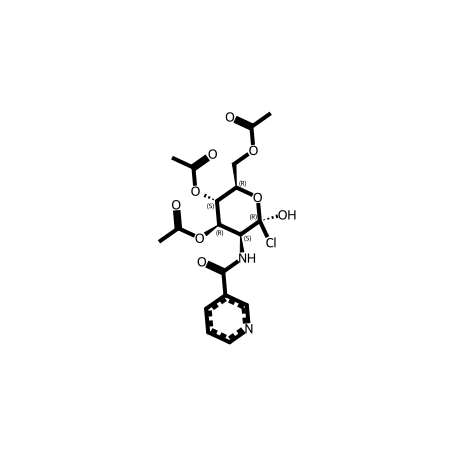 CC(=O)OC[C@H]1O[C@@](O)(Cl)[C@@H](NC(=O)c2cccnc2)[C@@H](OC(C)=O)[C@@H]1OC(C)=O